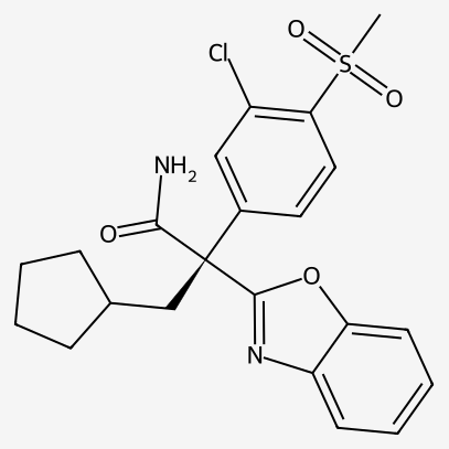 CS(=O)(=O)c1ccc([C@@](CC2CCCC2)(C(N)=O)c2nc3ccccc3o2)cc1Cl